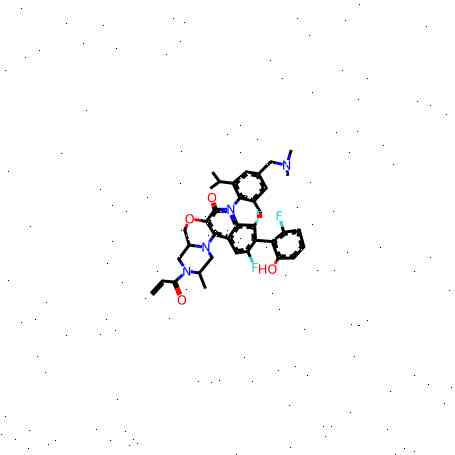 C=CC(=O)N1CC2COc3c(c4cc(F)c(-c5c(O)cccc5F)c(F)c4n(-c4c(C)cc(CN(C)C)cc4C(C)C)c3=O)N2CC1C